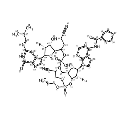 C=CCOP(=O)(OCCC#N)O[C@H]1[C@@H](F)[C@H](n2cnc3c(NC(=O)c4ccccc4)ncnc32)O[C@@H]1COP(=O)(O)OC(CCC#N)[C@H]1O[C@@H](n2cnc3c(=O)[nH]c(N=CN(C)C)nc32)[C@H](F)[C@@H]1O